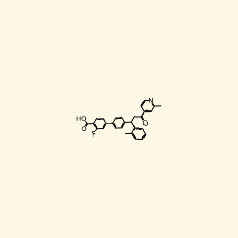 Cc1cc(C(=O)CC(c2ccc(-c3ccc(C(=O)O)c(F)c3)cc2)c2ccccc2C)ccn1